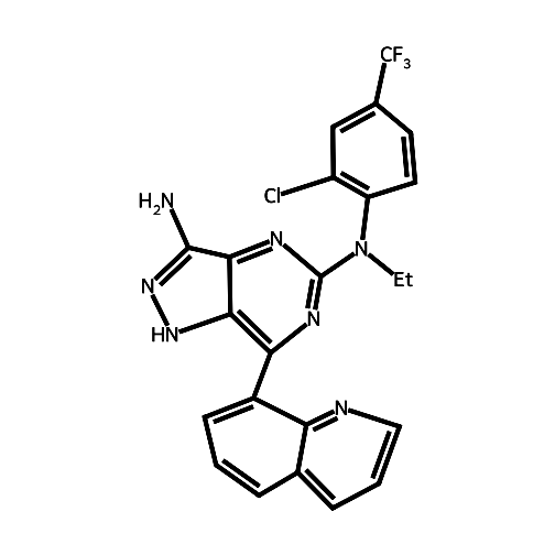 CCN(c1nc(-c2cccc3cccnc23)c2[nH]nc(N)c2n1)c1ccc(C(F)(F)F)cc1Cl